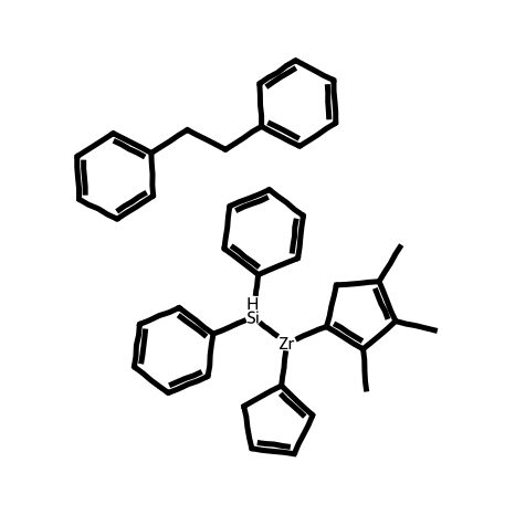 CC1=C(C)C(C)=[C]([Zr]([C]2=CC=CC2)[SiH](c2ccccc2)c2ccccc2)C1.c1ccc(CCc2ccccc2)cc1